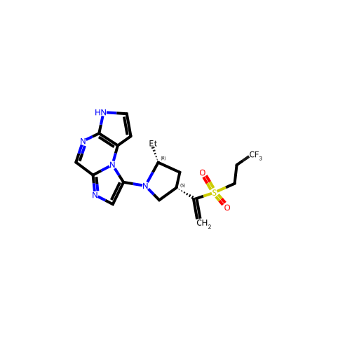 C=C([C@H]1C[C@@H](CC)N(c2cnc3cnc4[nH]ccc4n23)C1)S(=O)(=O)CCC(F)(F)F